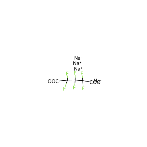 O=C([O-])C(F)(F)C(F)(F)C(F)(F)C(=O)[O-].[Na+].[Na+].[Na].[Na]